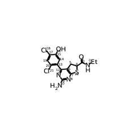 CCNC(=O)C1Cc2c(nc(N)nc2-c2cc(O)c(Cl)cc2Cl)S1